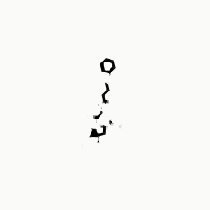 O=C(CCCOc1ccccc1)NCC(=O)N1[C@H]2C[C@@]2(CO)C[C@H]1C(=O)O